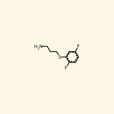 NCCCSc1cc(F)ccc1F